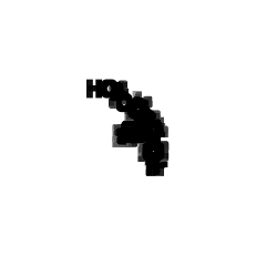 CC(C)(O)COc1ccc2c(c1)N(C(=O)OC(C)(C)C)C1(CCN(c3ccc(Br)cc3)C1=O)C2